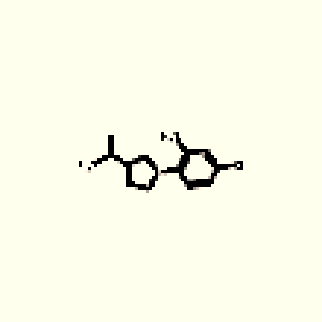 CC(N)C1CCN(c2ccc(Cl)cc2N)C1